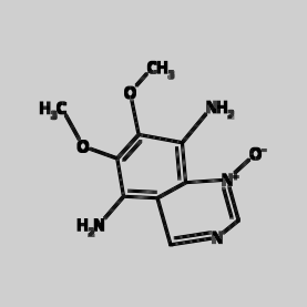 COc1c(OC)c(N)c2c(cnc[n+]2[O-])c1N